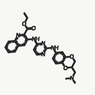 CCOC(=O)c1nc2ccccc2cc1Nc1ccnc(Nc2ccc3c(c2)OCC(CN(C)C)O3)n1